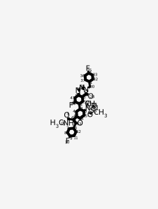 CNC(=O)c1c(-c2ccc(F)cc2)oc2cc(N(C)S(C)(=O)=O)c(-c3cc4c(=O)n(Cc5ccc(F)cc5)nnc4cc3F)cc12